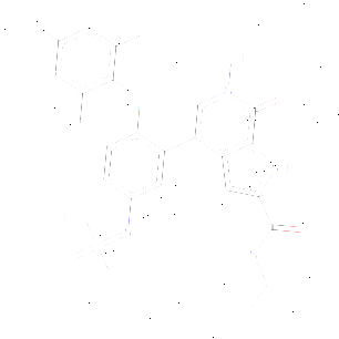 Cc1cc(F)cc(C)c1Oc1ccc(N=S(C)(C)=O)cc1-c1cn(C)c(=O)c2[nH]c(C(=O)NCC(F)(F)F)cc12